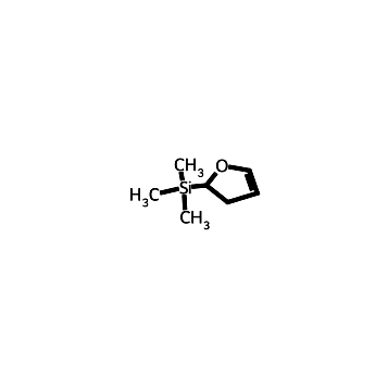 C[Si](C)(C)C1CC=CO1